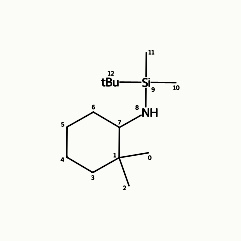 CC1(C)CCCCC1N[Si](C)(C)C(C)(C)C